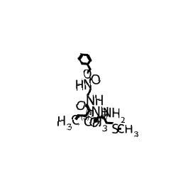 CC[C@H](C)[C@H](NC(=O)[C@@H](N)CCSC)C(=O)NCCNC(=O)OCc1ccccc1